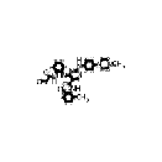 Cc1cccc(Cl)c1NC(=O)c1cnc(Nc2ccc(N3CCN(C)CC3)cc2)nc1Nc1ccccc1NC(=O)CCl